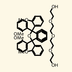 COc1ccccc1C(OC(c1ccccc1)(c1ccccc1OC)c1ccccc1OC)(c1ccccc1)c1ccccc1OC.OCCOCCOCCOCCO